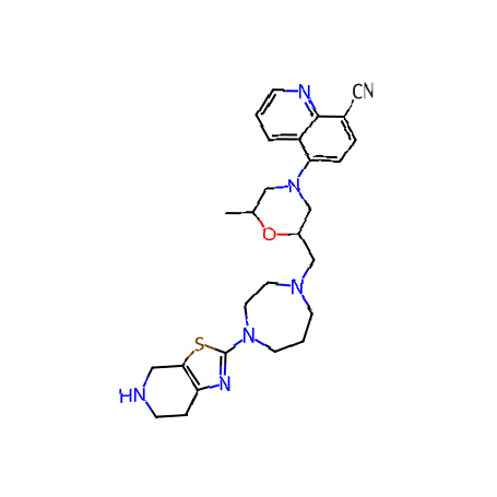 CC1CN(c2ccc(C#N)c3ncccc23)CC(CN2CCCN(c3nc4c(s3)CNCC4)CC2)O1